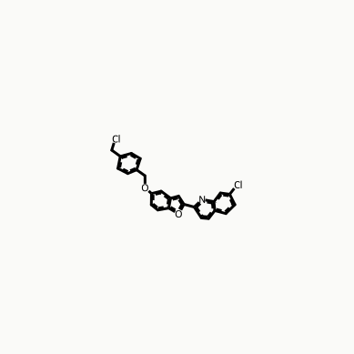 ClCc1ccc(COc2ccc3oc(-c4ccc5ccc(Cl)cc5n4)cc3c2)cc1